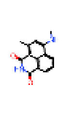 CNc1cc(C)c2c3c(cccc13)C(=O)NC2=O